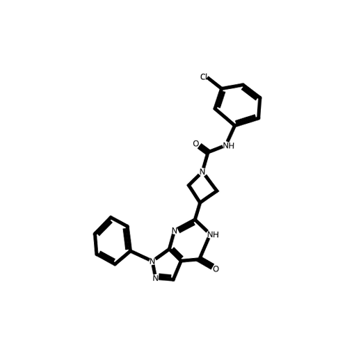 O=C(Nc1cccc(Cl)c1)N1CC(c2nc3c(cnn3-c3ccccc3)c(=O)[nH]2)C1